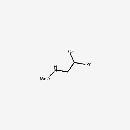 CONCC(O)C(C)C